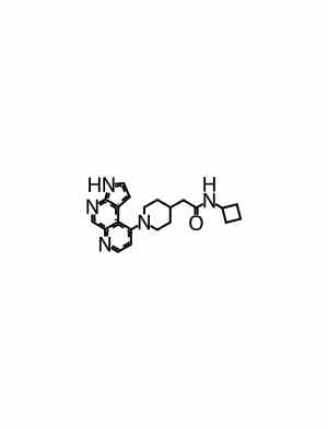 O=C(CC1CCN(c2ccnc3cnc4[nH]ccc4c23)CC1)NC1CCC1